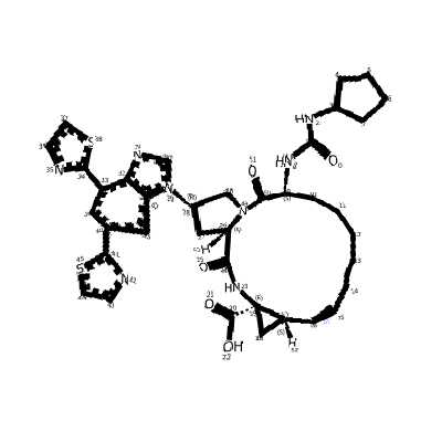 O=C(NC1CCCC1)N[C@H]1CCCCC/C=C\[C@@H]2C[C@@]2(C(=O)O)NC(=O)[C@@H]2C[C@@H](n3cnc4c(-c5nccs5)cc(-c5nccs5)cc43)CN2C1=O